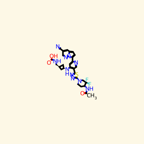 CC(=O)NC1CCN(c2nnc(-c3cnc(-c4ccc5cc(C#N)cnn45)cc3N[C@H]3C[C@H](CNC(=O)O)C3)s2)CC1(F)F